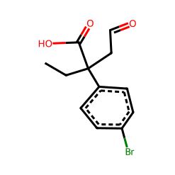 CCC(CC=O)(C(=O)O)c1ccc(Br)cc1